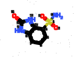 NS(=O)(=O)c1cccc2[nH]c(=O)[nH]c12